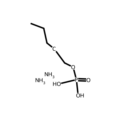 CCCCCOP(=O)(O)O.N.N